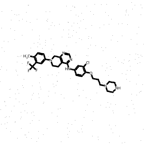 Cc1ccc(N2CCc3c(ncnc3Nc3ccc(OCCCN4CCNCC4)c(Cl)c3)C2)cc1C(F)(F)F